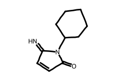 N=C1C=CC(=O)N1C1CCCCC1